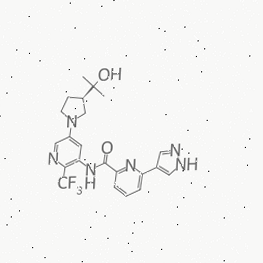 CC(C)(O)[C@@H]1CCN(c2cnc(C(F)(F)F)c(NC(=O)c3cccc(-c4cn[nH]c4)n3)c2)C1